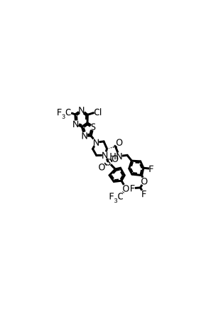 O=C(NCc1ccc(OC(F)F)c(F)c1)[C@H]1CN(c2nc3nc(C(F)(F)F)nc(Cl)c3s2)CCN1S(=O)(=O)c1ccc(OC(F)(F)F)cc1